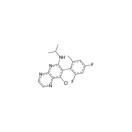 Cc1cc(F)cc(F)c1-c1c(NC(C)C)nc2nccnc2c1Cl